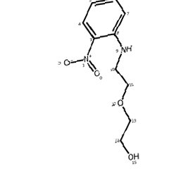 O=[N+]([O-])c1ccccc1NCCOCCO